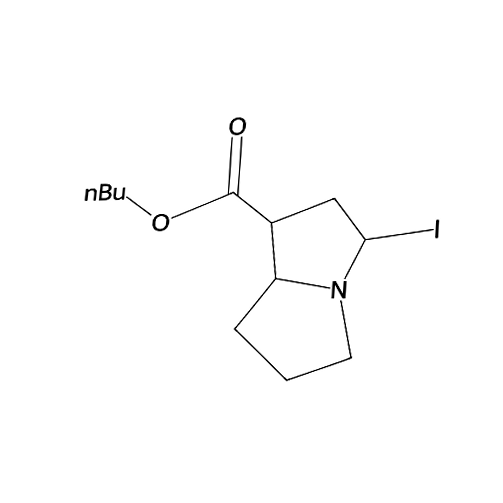 CCCCOC(=O)C1CC(I)N2CCCC12